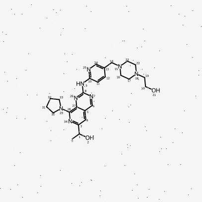 CC(O)c1cc2cnc(Nc3ccc(CN4CCN(CCO)CC4)cn3)nc2c(N2CCCC2)n1